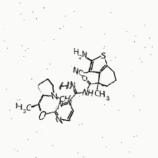 C[C@H](Oc1nccc(C(=N)NC(=O)[C@@]2(C)CCCc3sc(N)c(C#N)c32)n1)[C@@H]1CCCN1C